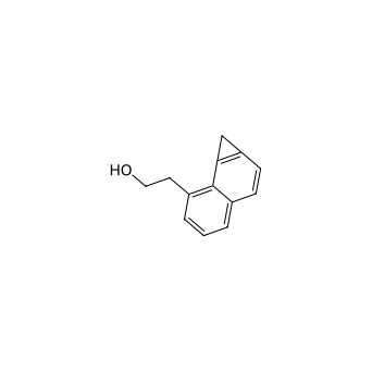 OCCc1cccc2ccc3c(c12)C3